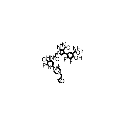 C[C@H]1CN(CC2CCO2)CCN1c1cc(NC(=O)Cn2cc(-c3cc(C(N)=O)c(O)c(F)c3F)c3c(=O)n(C)cnc32)c(Cl)c(F)n1